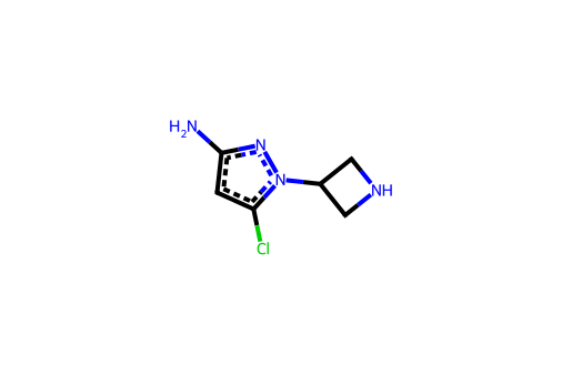 Nc1cc(Cl)n(C2CNC2)n1